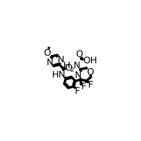 COc1cnc(C(=O)Nc2ccc(F)c(C3(C)N=C(N)COCC3(F)F)c2)cn1.O=CO